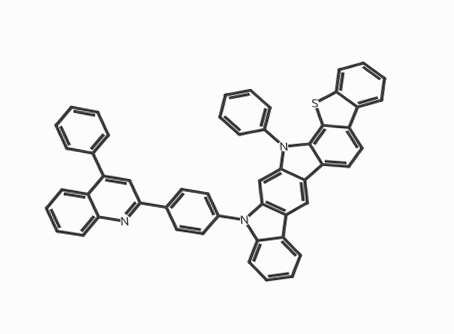 c1ccc(-c2cc(-c3ccc(-n4c5ccccc5c5cc6c7ccc8c9ccccc9sc8c7n(-c7ccccc7)c6cc54)cc3)nc3ccccc23)cc1